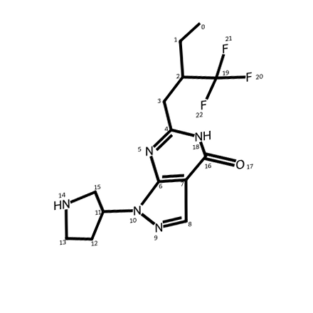 CCC(Cc1nc2c(cnn2C2CCNC2)c(=O)[nH]1)C(F)(F)F